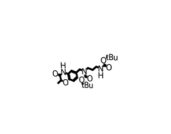 CC1Oc2ccc(CN(CCCNC(=O)OC(C)(C)C)C(=O)OC(C)(C)C)cc2NC1=O